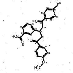 COc1ccc(C(=O)CC(CC(=O)c2ccc(F)cc2)c2cccc(C(=O)O)c2)cc1